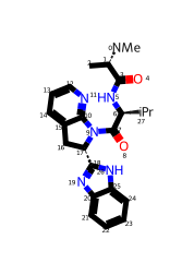 CN[C@@H](C)C(=O)N[C@H](C(=O)N1c2ncccc2C[C@H]1c1nc2ccccc2[nH]1)C(C)C